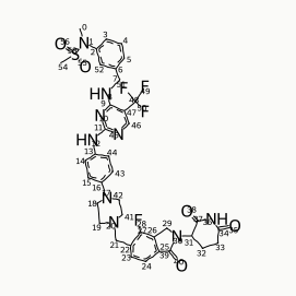 CN(c1cccc(CNc2nc(Nc3ccc(N4CCN(Cc5ccc6c(c5F)CN(C5CCC(=O)NC5=O)C6=O)CC4)cc3)ncc2C(F)(F)F)c1)S(C)(=O)=O